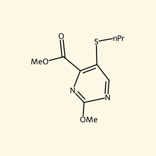 CCCSc1cnc(OC)nc1C(=O)OC